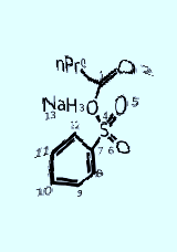 CCCC(=O)OS(=O)(=O)c1ccccc1.[NaH]